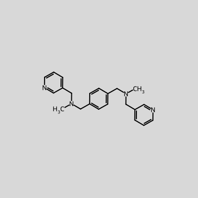 CN(Cc1ccc(CN(C)Cc2cccnc2)cc1)Cc1cccnc1